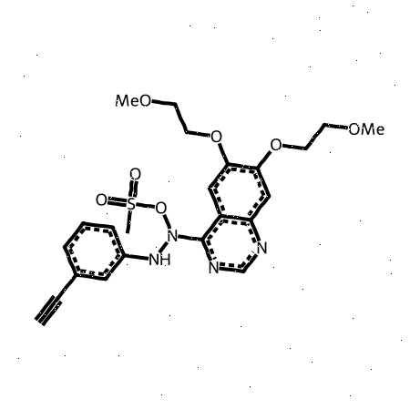 C#Cc1cccc(NN(OS(C)(=O)=O)c2ncnc3cc(OCCOC)c(OCCOC)cc23)c1